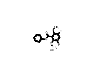 COc1c(Cl)cc(Br)c(OC)c1C(=O)Pc1ccccc1.[LiH]